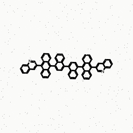 c1ccc2ncc(-c3c4ccccc4c(-c4ccc(-c5ccc(-c6c7ccccc7c(-c7cnc8ccccc8c7)c7ccccc67)c6ccccc56)c5ccccc45)c4ccccc34)cc2c1